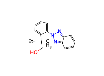 CCC(C)(CO)c1ccccc1-n1nc2ccccc2n1